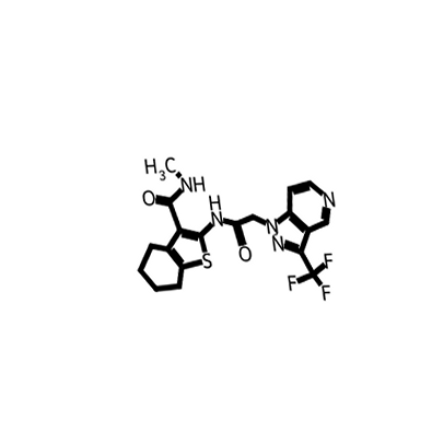 CNC(=O)c1c(NC(=O)Cn2nc(C(F)(F)F)c3cnccc32)sc2c1CCCC2